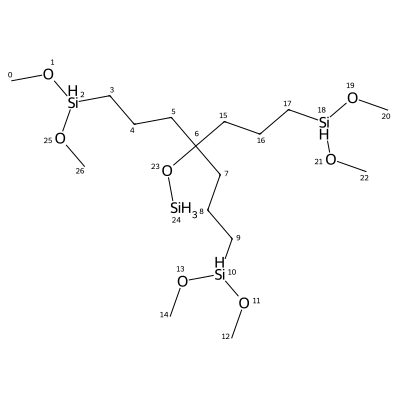 CO[SiH](CCCC(CCC[SiH](OC)OC)(CCC[SiH](OC)OC)O[SiH3])OC